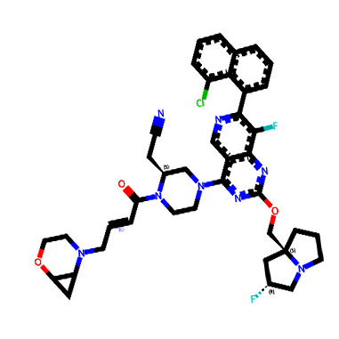 N#CC[C@H]1CN(c2nc(OC[C@@]34CCCN3C[C@H](F)C4)nc3c(F)c(-c4cccc5cccc(Cl)c45)ncc23)CCN1C(=O)/C=C/CN1CCOC2CC21